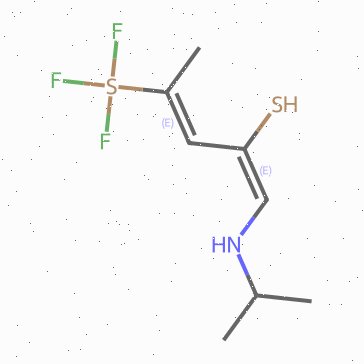 C/C(=C\C(S)=C/NC(C)C)S(F)(F)F